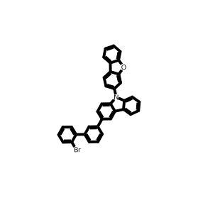 Brc1ccccc1-c1cccc(-c2ccc3c(c2)c2ccccc2n3-c2ccc3c(c2)oc2ccccc23)c1